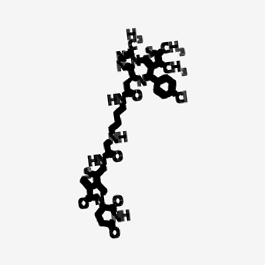 Cc1sc2c(c1C)C(c1ccc(Cl)cc1)=N[C@@H](CC(=O)NCCCCNCC(=O)NCc1scc3c1CN(C1CCC(=O)NC1=O)C3=O)c1nnc(C)n1-2